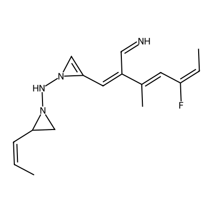 C/C=C\C1CN1NN1C=C1/C=C(C=N)/C(C)=C/C(F)=C\C